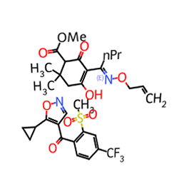 C=CCO/N=C(\CCC)C1=C(O)CC(C)(C)C(C(=O)OC)C1=O.CS(=O)(=O)c1cc(C(F)(F)F)ccc1C(=O)c1cnoc1C1CC1